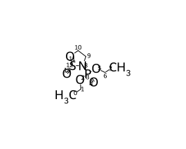 CCOP(=O)(OCC)N1CCOS1=O